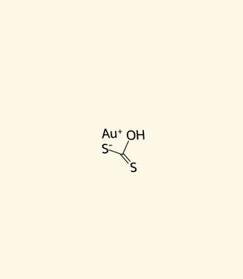 OC(=S)[S-].[Au+]